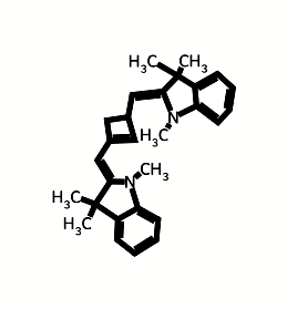 CN1C(=CC2=CC(C=C3N(C)c4ccccc4C3(C)C)C2)C(C)(C)c2ccccc21